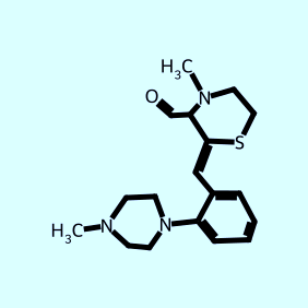 CN1CCN(c2ccccc2C=C2SCCN(C)C2C=O)CC1